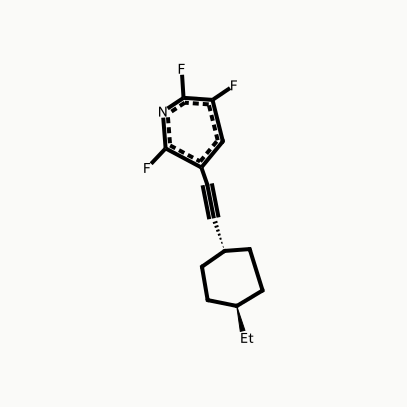 CC[C@H]1CC[C@H](C#Cc2cc(F)c(F)nc2F)CC1